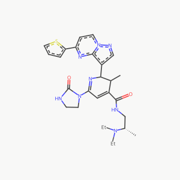 CCN(CC)[C@@H](C)CNC(=O)C1=CC(N2CCNC2=O)=NC(c2cnn3ccc(-c4cccs4)nc23)C1C